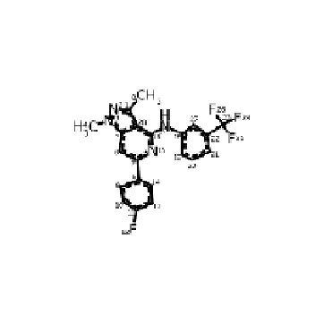 Cc1nn(C)c2cc(-c3ccc(F)cc3)nc(Nc3cccc(C(F)(F)F)c3)c12